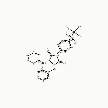 O=C1CN(Cc2ccncc2NC2CCCCC2)C(=O)N1c1ccc(S(=O)(=O)C(F)(F)F)cc1